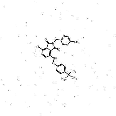 Cc1ccc(CN2C(=O)c3c(Cl)ccc(NOc4ccc(C(C)(C)C)cc4)c3C2=O)nc1